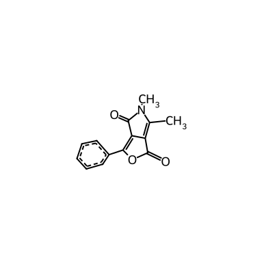 CC1=C2C(=O)OC(c3ccccc3)=C2C(=O)N1C